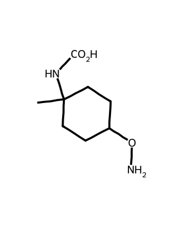 CC1(NC(=O)O)CCC(ON)CC1